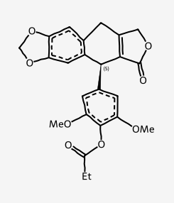 CCC(=O)Oc1c(OC)cc([C@@H]2C3=C(COC3=O)Cc3cc4c(cc32)OCO4)cc1OC